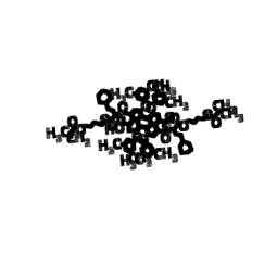 C=C(C)C(=O)OCCCCOC(=O)C(CCC1CCCCC1)N1C(=O)c2cc(Oc3cc(C)cc(C)c3)c3c4c(Oc5cc(C)cc(C)c5)cc5c6c(cc(Oc7cc(C)cc(C)c7)c(c7c(Oc8cc(C)cc(C)c8)cc(c2c37)C1=O)c64)C(O)N(C(CCC1CCCCC1)C(=O)OCCCCOC(=O)C(=C)C)C5=O